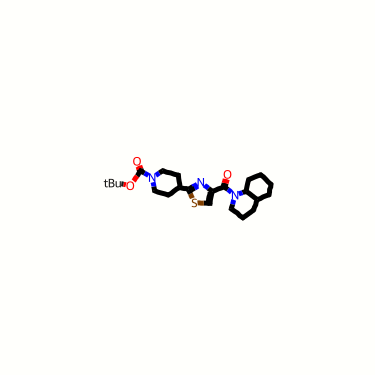 CC(C)(C)OC(=O)N1CCC(c2nc(C(=O)N3CCCC4CCCCC43)cs2)CC1